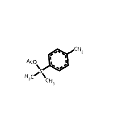 CC(=O)OS(C)(C)c1ccc(C)cc1